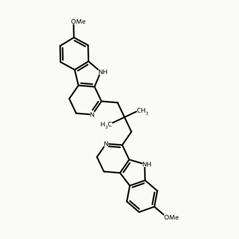 COc1ccc2c3c([nH]c2c1)C(CC(C)(C)CC1=NCCc2c1[nH]c1cc(OC)ccc21)=NCC3